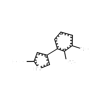 COc1c(-c2c[nH]c(C(=O)O)c2)cccc1[N+](=O)[O-]